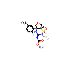 CN1/C(=N\C(=O)OC(C)(C)C)N[C@]2(c3cc([N+](=O)[O-])ccc3F)COC[C@@H]2S1(=O)=O